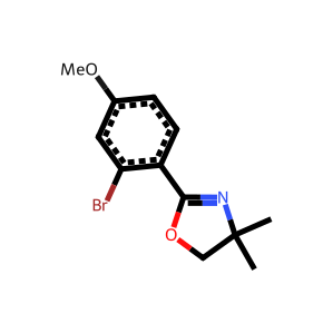 COc1ccc(C2=NC(C)(C)CO2)c(Br)c1